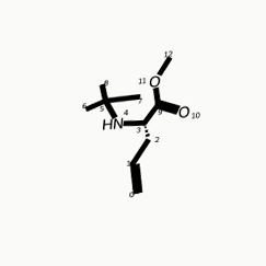 C=CC[C@H](NC(C)(C)C)C(=O)OC